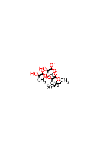 CC(O)C(=O)[O-].CC(O)C(=O)[O-].CC(O)C(=O)[O-].CCC[CH2][Sn+3]